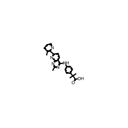 Cc1nc(Nc2ccc(C(C)(C)C(=O)O)cc2)c2ccc(-c3ncccc3C)nc2n1